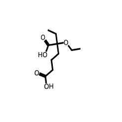 CCOC(CC)(CCCC(=O)O)C(=O)O